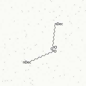 CCCCCCCCCCCCCCCCCCCCCCC(=O)OC(=O)CCCCCCCCCCCCCCCCCCCCC